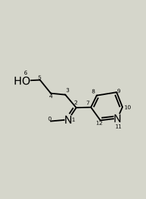 CN=C(CCCO)c1cccnc1